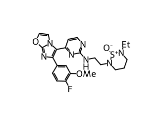 CCN1CCCN(CCNc2nccc(-c3c(-c4ccc(F)c(OC)c4)nc4occn34)n2)[S+]1[O-]